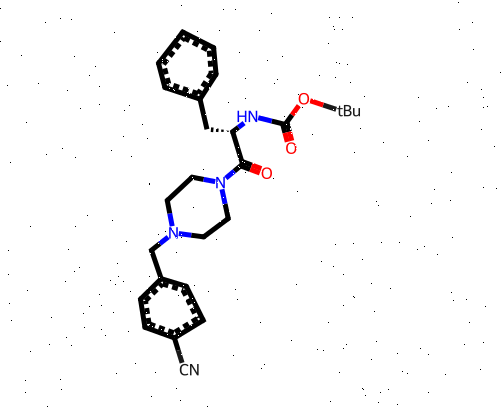 CC(C)(C)OC(=O)N[C@@H](Cc1ccccc1)C(=O)N1CCN(Cc2ccc(C#N)cc2)CC1